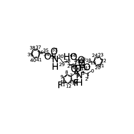 CC(C)C(NC(=O)c1ccc(F)cc1F)P(=O)(OCc1ccccc1)O[C@@H](CCCCNC(=O)OCc1ccccc1)C(=O)O